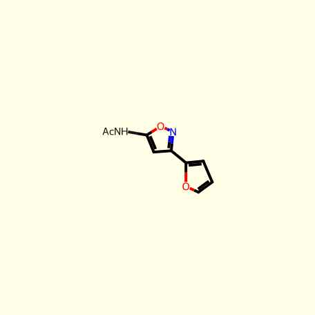 CC(=O)Nc1cc(-c2ccco2)no1